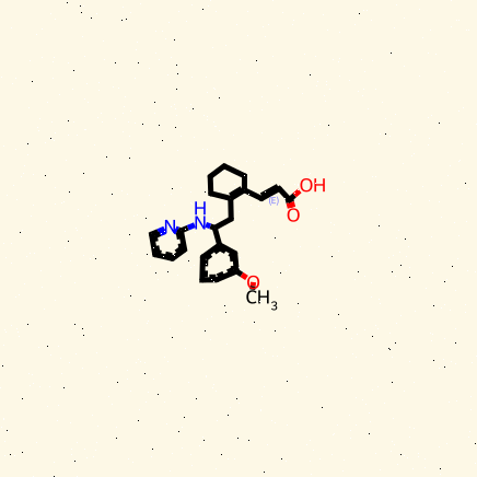 COc1cccc(C(CC2=C(/C=C/C(=O)O)CCCC2)Nc2ccccn2)c1